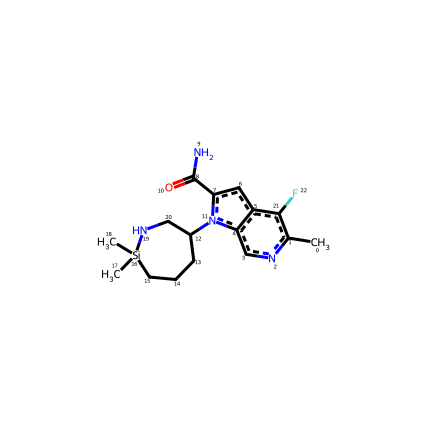 Cc1ncc2c(cc(C(N)=O)n2C2CCC[Si](C)(C)NC2)c1F